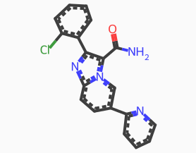 NC(=O)c1c(-c2ccccc2Cl)nc2ccc(-c3ccccn3)cn12